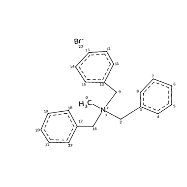 C[N+](Cc1ccccc1)(Cc1ccccc1)Cc1ccccc1.[Br-]